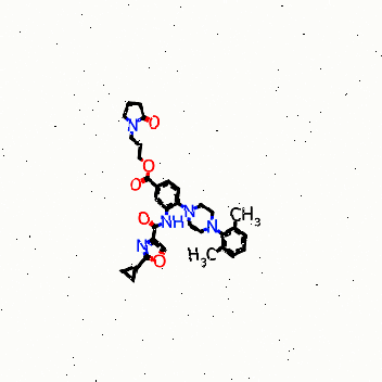 Cc1cccc(C)c1N1CCN(c2ccc(C(=O)OCCCN3CCCC3=O)cc2NC(=O)c2coc(C3CC3)n2)CC1